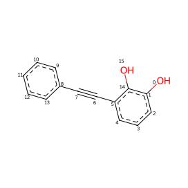 Oc1cccc(C#Cc2ccccc2)c1O